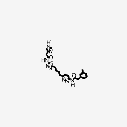 Cc1cccc(CC(=O)Nc2ccc(CCCCc3nnc(NC(=O)Cc4c[nH]cn4)s3)nn2)c1